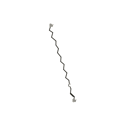 BrC=CCCCCCCCCCCCCCCCCBr